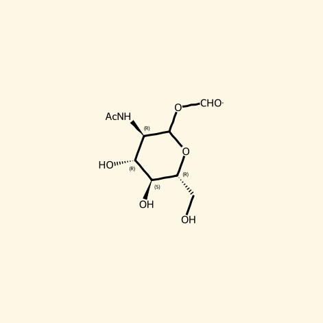 CC(=O)N[C@H]1C(O[C]=O)O[C@H](CO)[C@@H](O)[C@@H]1O